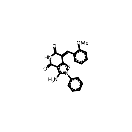 COc1ccccc1/C=C1/C(=O)NC(=O)c2c1nn(-c1ccccc1)c2N